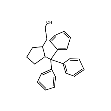 OCCC1CCCN1C(c1ccccc1)(c1ccccc1)c1ccccc1